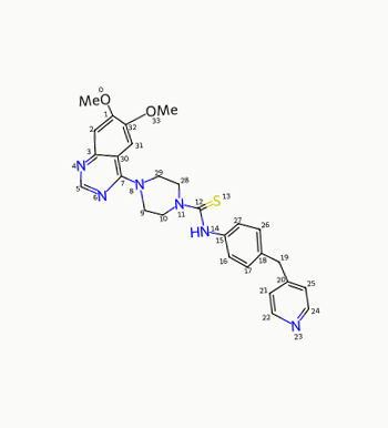 COc1cc2ncnc(N3CCN(C(=S)Nc4ccc(Cc5ccncc5)cc4)CC3)c2cc1OC